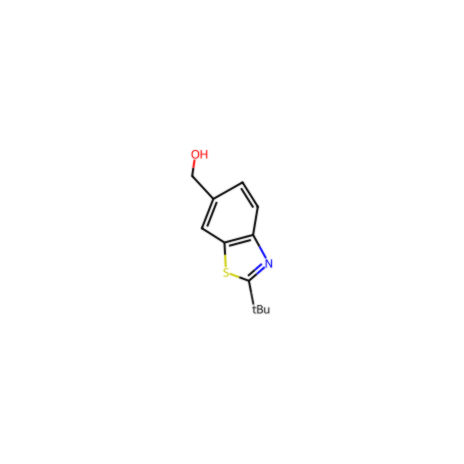 CC(C)(C)c1nc2ccc(CO)cc2s1